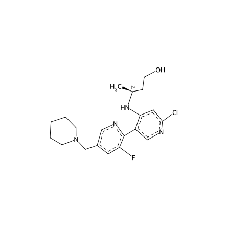 C[C@@H](CCO)Nc1cc(Cl)ncc1-c1ncc(CN2CCCCC2)cc1F